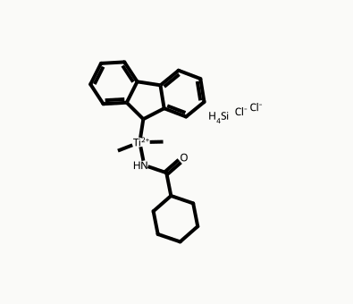 [CH3][Ti+2]([CH3])([NH]C(=O)C1CCCCC1)[CH]1c2ccccc2-c2ccccc21.[Cl-].[Cl-].[SiH4]